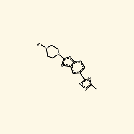 Cc1nc(-c2ccc3nc(N4CCN(C(C)C)CC4)sc3c2)no1